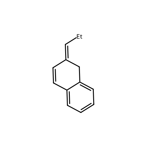 CCC=C1C=Cc2ccccc2C1